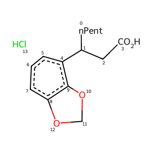 CCCCCC(CC(=O)O)c1cccc2c1OCO2.Cl